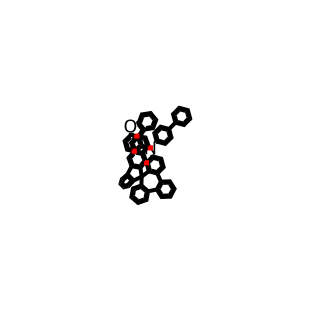 c1ccc(-c2ccc(N(c3ccc4c(c3)C3(c5ccccc5-c5ccccc5-4)c4ccccc4-c4cc5ccccc5cc43)c3cccc4oc5ccccc5c34)cc2)cc1